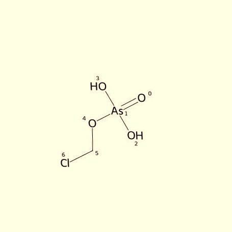 O=[As](O)(O)OCCl